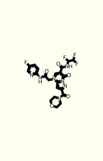 O=C(Cn1cc(C(=O)NC(F)C(F)F)c(=O)n2nc(C(=O)N3CCOCC3)cc12)Nc1ccc(F)cn1